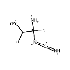 CCCC(C)C(C)(N)N=C=N